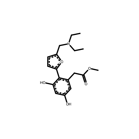 CCN(CC)Cc1ccc(-c2c(O)cc(O)cc2CC(=O)OC)o1